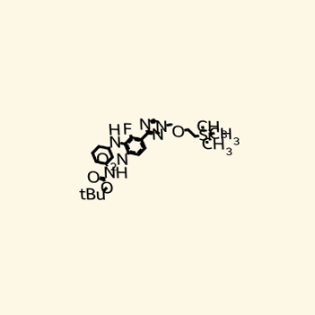 CC(C)(C)OC(=O)N[C@H]1CCC[C@@H](Nc2c([N+](=O)[O-])ccc(-c3ncn(COCC[Si](C)(C)C)n3)c2F)C1